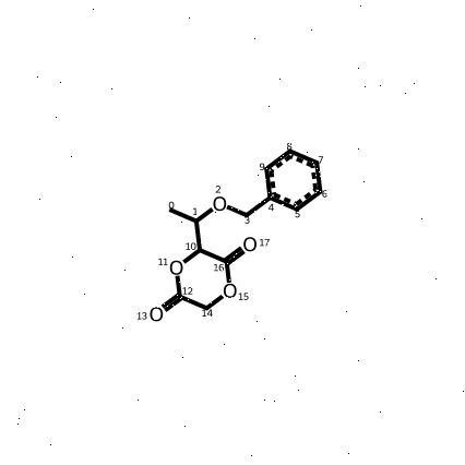 CC(OCc1ccccc1)C1OC(=O)COC1=O